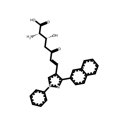 N[C@H](C(=O)O)[C@H](O)CC(=O)C=Cc1cn(-c2ccccc2)nc1-c1ccc2ccccc2c1